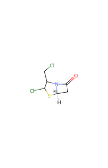 O=C1C[C@H]2SC(Cl)C(CCl)N12